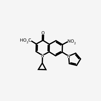 O=C(O)c1cn(C2CC2)c2cc(-n3cccc3)c([N+](=O)[O-])cc2c1=O